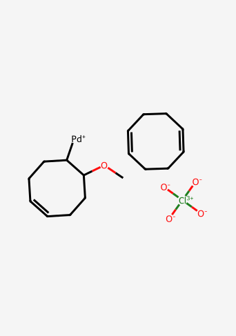 C1=C\CC/C=C\CC/1.COC1CC/C=C\CC[CH]1[Pd+].[O-][Cl+3]([O-])([O-])[O-]